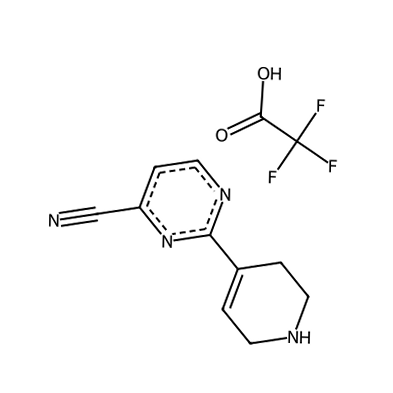 N#Cc1ccnc(C2=CCNCC2)n1.O=C(O)C(F)(F)F